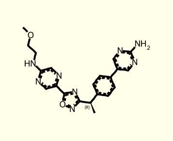 COCCNc1cnc(-c2nc([C@H](C)c3ccc(-c4cnc(N)nc4)cc3)no2)cn1